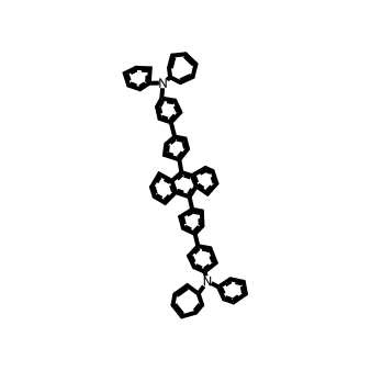 C1=CC=CC(N(c2ccccc2)c2ccc(-c3ccc(-c4c5ccccc5c(-c5ccc(-c6ccc(N(c7ccccc7)C7C=CC=CC=C7)cc6)cc5)c5ccccc45)cc3)cc2)C=C1